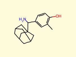 Cc1cc(C(N)C23CC4CC(CC(C4)C2)C3)ccc1O